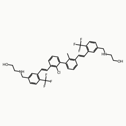 Cc1c(/C=C/c2cc(CNCCO)ccc2C(F)(F)F)cccc1-c1cccc(/C=C/c2cc(CNCCO)ccc2C(F)(F)F)c1Cl